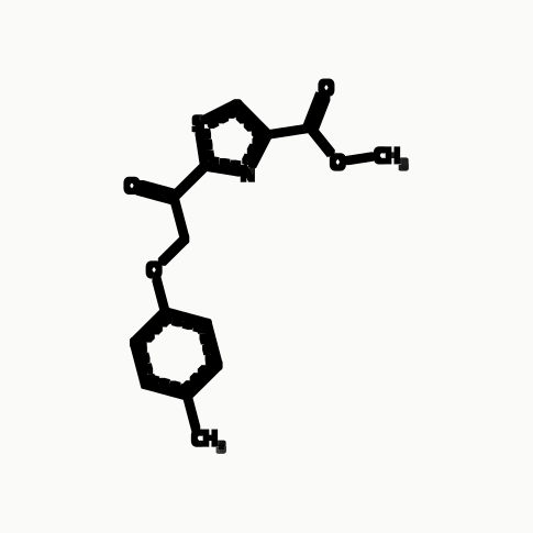 COC(=O)c1csc(C(=O)COc2ccc(C)cc2)n1